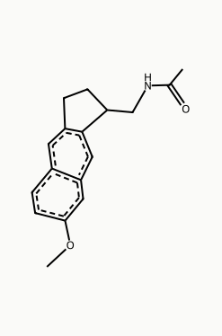 COc1ccc2cc3c(cc2c1)C(CNC(C)=O)CC3